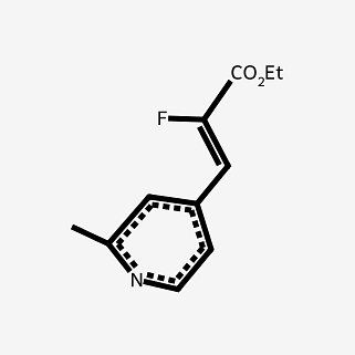 CCOC(=O)/C(F)=C/c1ccnc(C)c1